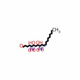 CCCCCCCC/C=C\CC(C(O)CC(O)C(CCCC=O)[N+](=O)[O-])[N+](=O)[O-]